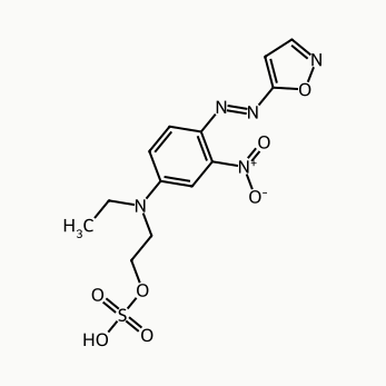 CCN(CCOS(=O)(=O)O)c1ccc(N=Nc2ccno2)c([N+](=O)[O-])c1